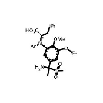 CCOc1cc(C(C)(N)S(C)(=O)=O)cc(N(C(C)=O)[C@@H](CC(C)C)C(=O)O)c1OC